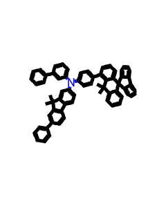 CC1(C)c2cc(-c3ccccc3)ccc2-c2ccc(N(c3ccc(-c4cccc5c4C(C)(C)c4ccccc4C54c5ccccc5-c5ccccc54)cc3)c3cccc(-c4ccccc4)c3)cc21